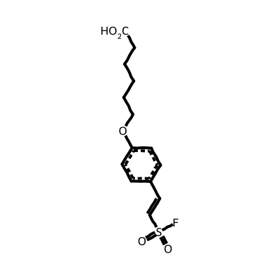 O=C(O)CCCCCOc1ccc(/C=C/S(=O)(=O)F)cc1